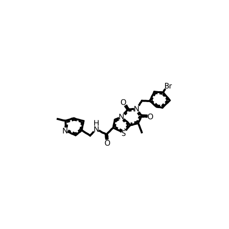 Cc1ccc(CNC(=O)c2cn3c(=O)n(Cc4cccc(Br)c4)c(=O)c(C)c3s2)cn1